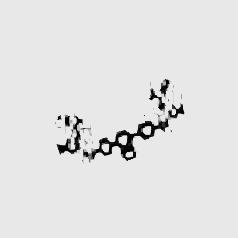 COC(=O)N[C@H](C(=O)N1CC2(CC2)C[C@H]1c1ncc(-c2ccc(-c3ccc(-c4ccc(-c5cnc([C@@H]6CC7(CC7)CN6C(=O)[C@@H](NC(=O)OC)C(C)C)[nH]5)cc4)c4c3C3CCC4C3)cc2)[nH]1)C(C)C